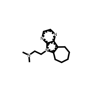 CN(C)CCn1c2c(c3nccnc31)CCCCC2